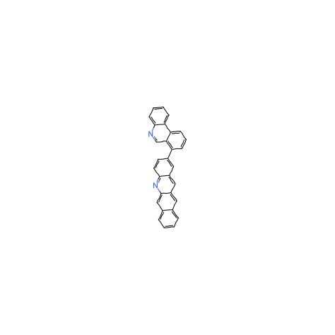 c1ccc2cc3nc4ccc(-c5cccc6c5cnc5ccccc56)cc4cc3cc2c1